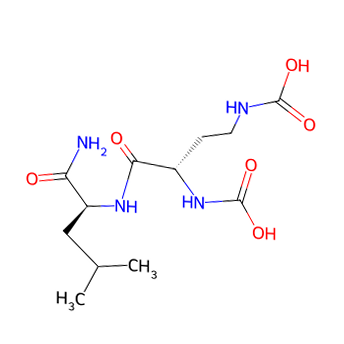 CC(C)C[C@H](NC(=O)[C@H](CCNC(=O)O)NC(=O)O)C(N)=O